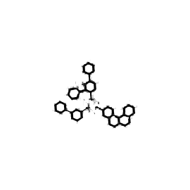 c1ccc(-c2cccc(-c3nc(-c4ccc5c(ccc6ccc7ccccc7c65)c4)nc(-c4ccc(-c5ccccc5)c5oc6ccccc6c45)n3)c2)cc1